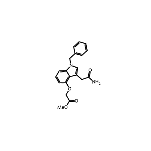 COC(=O)COc1cccc2c1c(CC(N)=O)cn2Cc1ccccc1